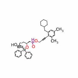 Cc1cc(C)c(C#CCO[PH](=O)C[C@H](CC(=O)O)O[Si](c2ccccc2)(c2ccccc2)C(C)(C)C)c(CC2CCCCC2)c1